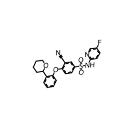 N#Cc1cc(S(=O)(=O)Nc2ccc(F)cn2)ccc1Oc1ccccc1C1CCCCO1